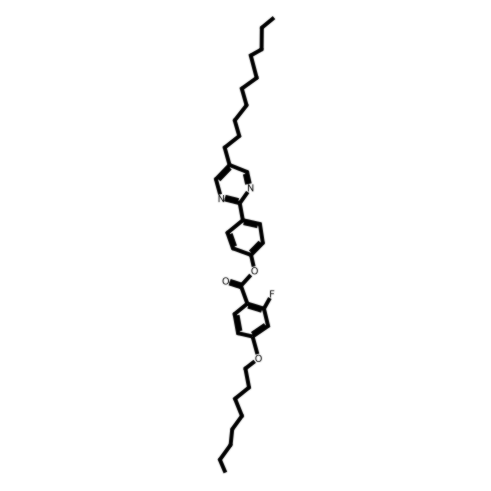 CCCCCCCCCCc1cnc(-c2ccc(OC(=O)c3ccc(OCCCCCCCC)cc3F)cc2)nc1